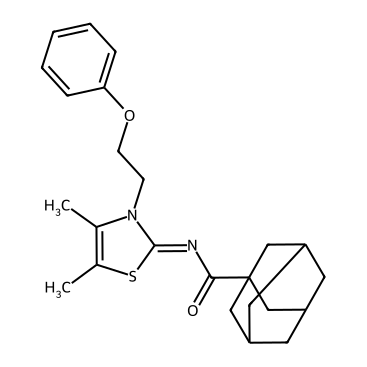 Cc1s/c(=N\C(=O)C23CC4CC(CC(C4)C2)C3)n(CCOc2ccccc2)c1C